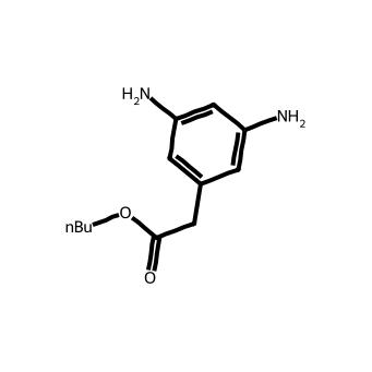 CCCCOC(=O)Cc1cc(N)cc(N)c1